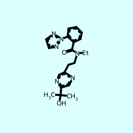 CCN(CCc1cnc(C(C)(C)O)cn1)C(=O)c1ccccc1-n1nccn1